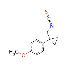 COc1ccc(C2(CN=C=S)CC2)cc1